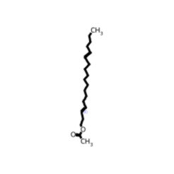 CCCCC=CCCCCCCCC/C=C/CCOC(C)=O